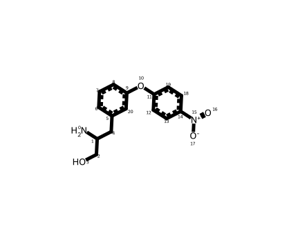 NC(CO)Cc1cccc(Oc2ccc([N+](=O)[O-])cc2)c1